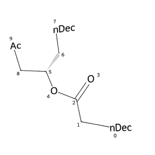 CCCCCCCCCCCC(=O)O[C@@H](CCCCCCCCCCC)CC(C)=O